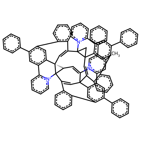 Cc1cc2[n+](cc1-c1ccccc1)C1=CC3C45C6=CC1(/C1=C\C78CC7(/C7=C\[C@@]34c3cc(c(-c4ccccc4)cc3-c3cccc[n+]35)-c3ccccc37)[n+]3ccccc3-c3cc(-c4ccccc4)c(cc38)-c3ccccc31)c1cc(c(-c3ccccc3)cc1-2)-c1ccccc16